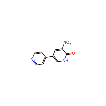 O=c1[nH]cc(-c2ccncc2)cc1[N+](=O)[O-]